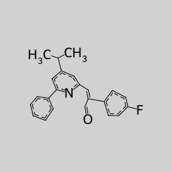 CC(C)c1cc(C=C(C=O)c2ccc(F)cc2)nc(-c2ccccc2)c1